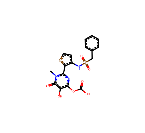 Cn1c(-c2sccc2NS(=O)(=O)Cc2ccccc2)nc(OC(=O)O)c(O)c1=O